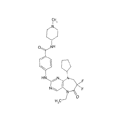 CCN1C(=O)C(F)(F)CN(C2CCCC2)c2nc(Nc3ccc(C(=O)NC4CCN(C)CC4)cc3)ncc21